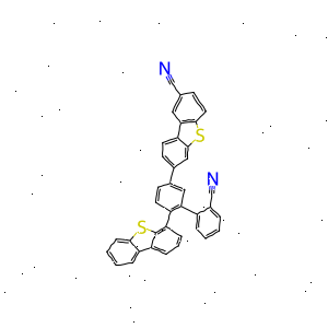 N#Cc1ccc2sc3cc(-c4ccc(-c5cccc6c5sc5ccccc56)c(-c5ccccc5C#N)c4)ccc3c2c1